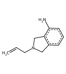 C=CCN1Cc2cccc(N)c2C1